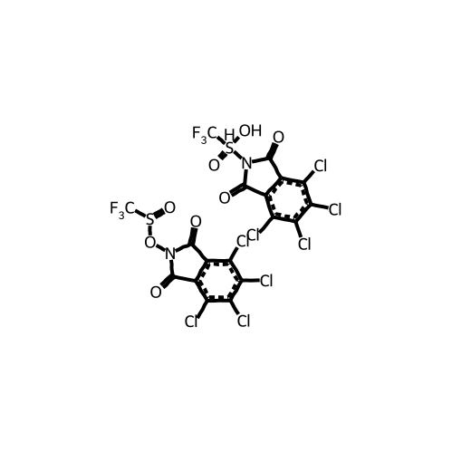 O=C1c2c(Cl)c(Cl)c(Cl)c(Cl)c2C(=O)N1OS(=O)C(F)(F)F.O=C1c2c(Cl)c(Cl)c(Cl)c(Cl)c2C(=O)N1[SH](=O)(O)C(F)(F)F